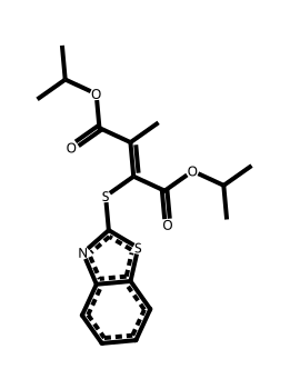 CC(C(=O)OC(C)C)=C(Sc1nc2ccccc2s1)C(=O)OC(C)C